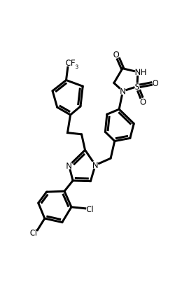 O=C1CN(c2ccc(Cn3cc(-c4ccc(Cl)cc4Cl)nc3CCc3ccc(C(F)(F)F)cc3)cc2)S(=O)(=O)N1